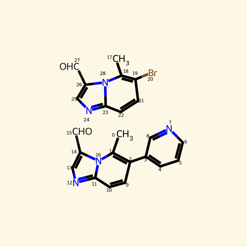 Cc1c(-c2cccnc2)ccc2ncc(C=O)n12.Cc1c(Br)ccc2ncc(C=O)n12